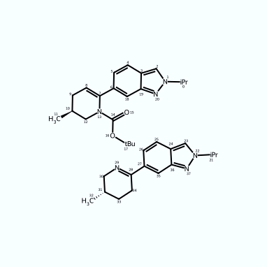 CC(C)n1cc2ccc(C3=CC[C@H](C)CN3C(=O)OC(C)(C)C)cc2n1.CC(C)n1cc2ccc(C3=NC[C@@H](C)CC3)cc2n1